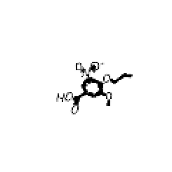 CCCOc1c(OC)cc(C(=O)O)cc1[N+](=O)[O-]